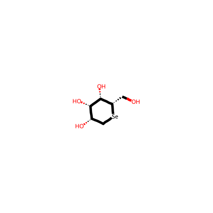 OC[C@@H]1[Se]C[C@H](O)[C@H](O)[C@@H]1O